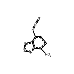 [N-]=[N+]=Nc1ccc([N+](=O)[O-])c2nonc12